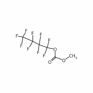 COC(=O)OC(F)(F)C(F)(F)C(F)(F)C(F)(F)F